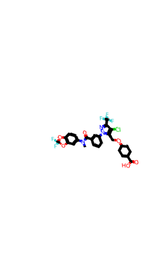 CN(C(=O)c1cccc(-n2nc(C(F)(F)F)c(Cl)c2COC2CCC(C(=O)O)CC2)c1)c1ccc2c(c1)OC(F)(F)O2